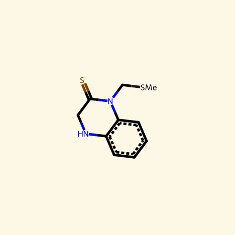 CSCN1C(=S)CNc2ccccc21